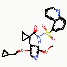 COc1cc(C2(C(=O)NS(=O)(=O)c3cccc4ncccc34)CC2)c(OCC2CC2)cn1